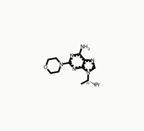 CC(C)[C@H](C)n1cnc2c(N)nc(N3CCOCC3)nc21